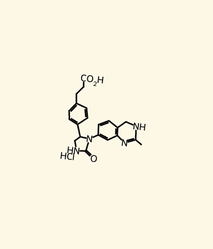 CC1=Nc2cc(N3C(=O)NCC3c3ccc(CCC(=O)O)cc3)ccc2CN1.Cl